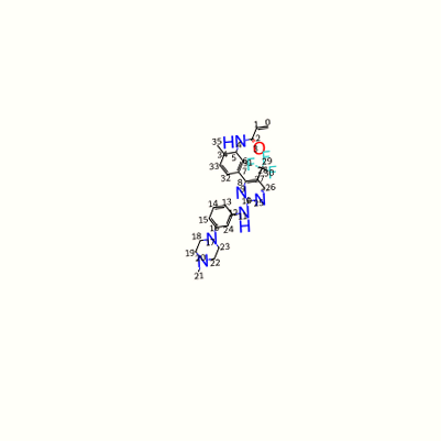 C=CC(=O)NC1C=C(c2nc(Nc3cccc(N4CCN(C)CC4)c3)ncc2C(F)(F)F)C=CC1C